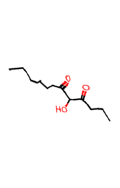 CCCCCC(=O)C(O)C(=O)CCC